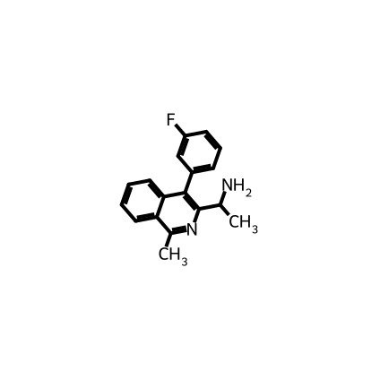 Cc1nc(C(C)N)c(-c2cccc(F)c2)c2ccccc12